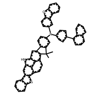 CC1(C)c2cc(N(c3ccc(-c4cccc5ccccc45)cc3)c3ccc4oc5ccccc5c4c3)ccc2-c2cc3[nH]c4cc5c6ccccc6sc5c5ccc(c21)c3c45